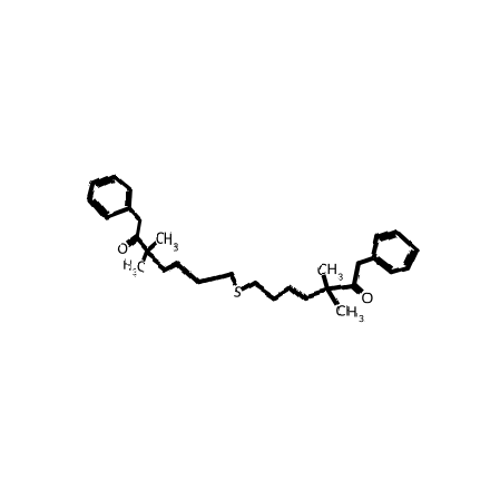 CC(C)(CCCCSCCCCC(C)(C)C(=O)Cc1ccccc1)C(=O)Cc1ccccc1